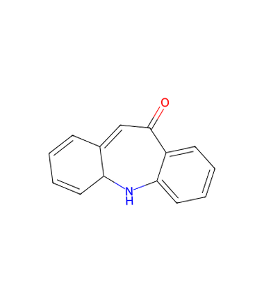 O=C1C=C2C=CC=CC2Nc2ccccc21